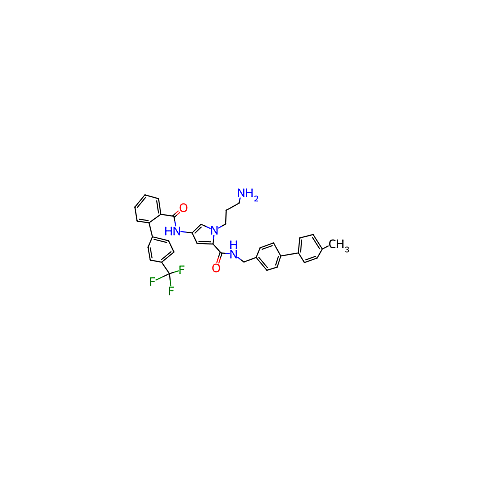 Cc1ccc(-c2ccc(CNC(=O)c3cc(NC(=O)c4ccccc4-c4ccc(C(F)(F)F)cc4)cn3CCCN)cc2)cc1